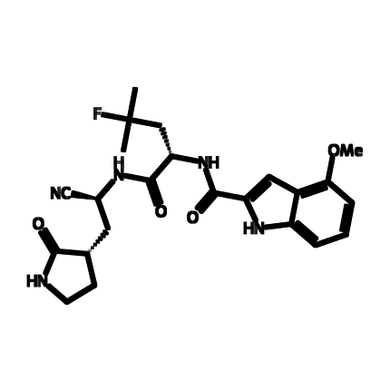 COc1cccc2[nH]c(C(=O)N[C@@H](CC(C)(C)F)C(=O)N[C@H](C#N)C[C@@H]3CCNC3=O)cc12